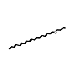 CCCCCCCCC=CCCCCCCCCOCCCC